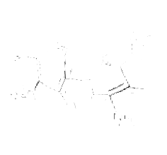 COc1c(Br)ccc(-c2cc(N)c(Cl)c(OC(=O)O)n2)c1Cl